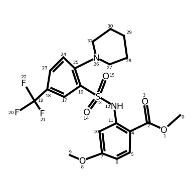 COC(=O)c1ccc(OC)cc1NS(=O)(=O)c1cc(C(F)(F)F)ccc1N1CCCCC1